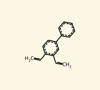 C=Cc1ccc(-c2ccccc2)cc1C=C